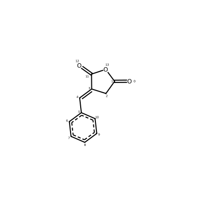 O=C1C/C(=C\c2ccccc2)C(=O)O1